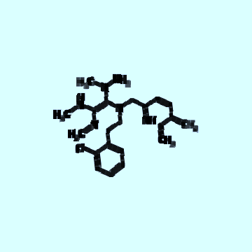 C=CC(=C)/C=C\C(=N)CN(CCc1ccccc1Cl)/C(=C(\N=C)NC)N(C)N